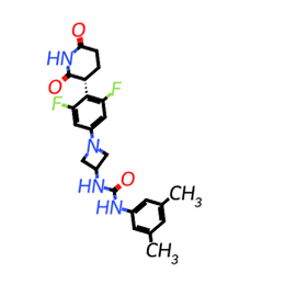 Cc1cc(C)cc(NC(=O)NC2CN(c3cc(F)c([C@H]4CCC(=O)NC4=O)c(F)c3)C2)c1